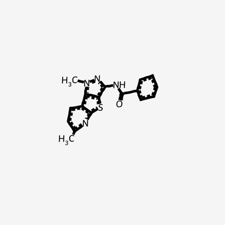 Cc1ccc2c(n1)sc1c(NC(=O)c3ccccc3)nn(C)c12